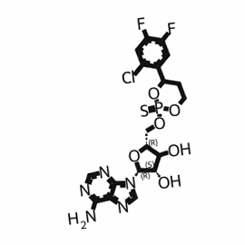 Nc1ncnc2c1ncn2[C@@H]1O[C@H](COP2(=S)OCCC(c3cc(F)c(F)cc3Cl)O2)C(O)[C@@H]1O